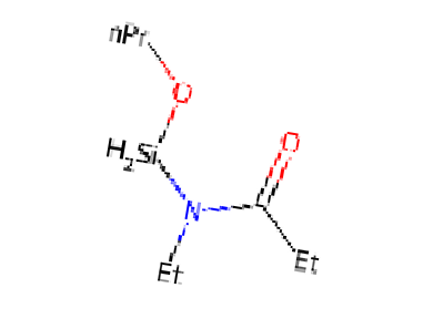 CCCO[SiH2]N(CC)C(=O)CC